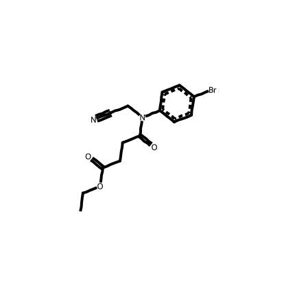 CCOC(=O)CCC(=O)N(CC#N)c1ccc(Br)cc1